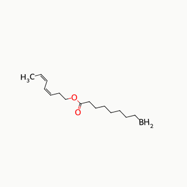 BCCCCCCCC(=O)OCC/C=C\C=C/C